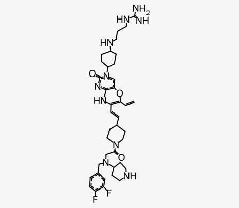 C=CC1=C(/C=C/C2CCN(C(=O)CN(Cc3ccc(F)c(F)c3)C3CCNCC3)CC2)Nc2nc(=O)n(C3CCC(NCCCNC(=N)N)CC3)cc2O1